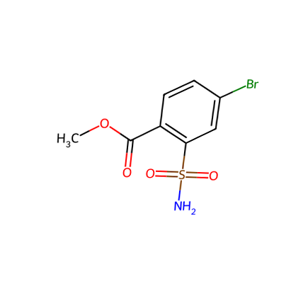 COC(=O)c1ccc(Br)cc1S(N)(=O)=O